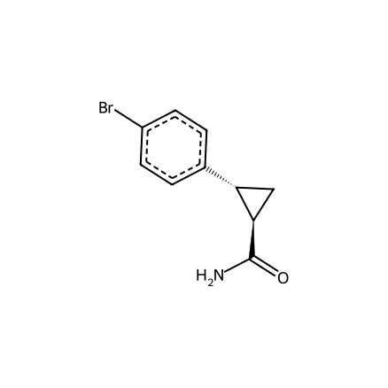 NC(=O)[C@@H]1C[C@H]1c1ccc(Br)cc1